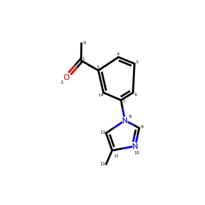 CC(=O)c1cccc(-n2cnc(C)c2)c1